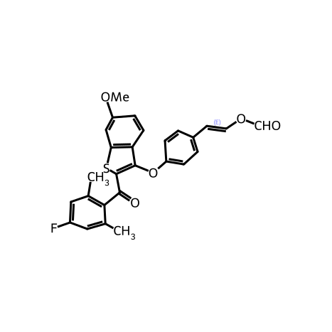 COc1ccc2c(Oc3ccc(/C=C/OC=O)cc3)c(C(=O)c3c(C)cc(F)cc3C)sc2c1